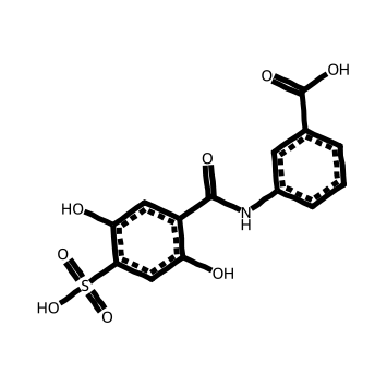 O=C(O)c1cccc(NC(=O)c2cc(O)c(S(=O)(=O)O)cc2O)c1